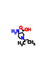 CCC(C)N1CC[C@@H](N)[C@H](C(=O)O)C1